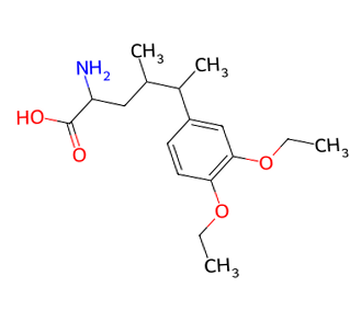 CCOc1ccc(C(C)C(C)CC(N)C(=O)O)cc1OCC